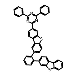 c1ccc(-c2nc(-c3ccccc3)nc(-c3ccc4c(c3)sc3ccc(-c5ccccc5-c5ccc6c(c5)sc5ccccc56)cc34)n2)cc1